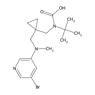 CN(CC1(CN(C(=O)O)C(C)(C)C)CC1)c1cncc(Br)c1